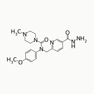 COc1ccc(N(Cc2ccc(C(=O)NN)cn2)C(=O)N2CCN(C)CC2)cc1